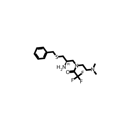 CN(C)CCN(C[C@@H](N)CSCc1ccccc1)C(=O)C(F)(F)F